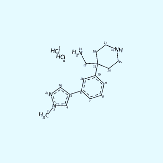 Cl.Cl.Cn1cc(-c2cccc(C3(CN)CCNCC3)c2)cn1